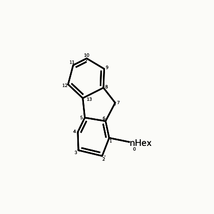 CCCCCCc1[c]ccc2c1[CH]c1c[c]ccc1-2